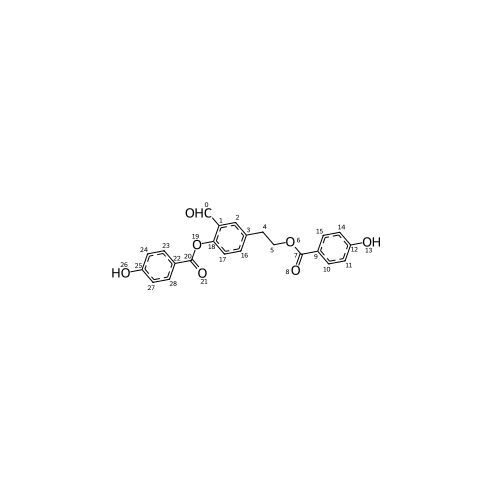 O=Cc1cc(CCOC(=O)c2ccc(O)cc2)ccc1OC(=O)c1ccc(O)cc1